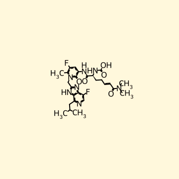 Cc1c(F)cc(NC(=O)[C@H](CC/C=C/C(=O)N(C)C)NC(=O)O)c(=O)n1Cc1nc2c(F)cnc(CC(C)C)c2[nH]1